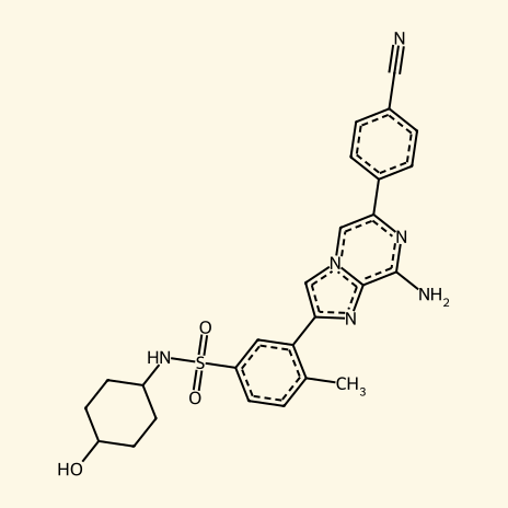 Cc1ccc(S(=O)(=O)NC2CCC(O)CC2)cc1-c1cn2cc(-c3ccc(C#N)cc3)nc(N)c2n1